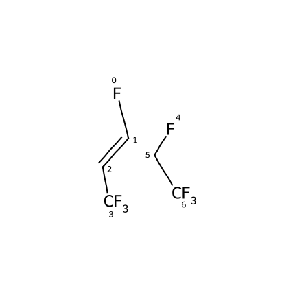 FC=CC(F)(F)F.FCC(F)(F)F